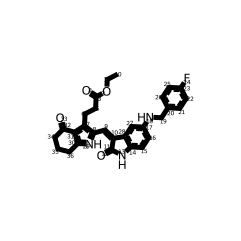 CCOC(=O)CCc1c(/C=C2\C(=O)Nc3ccc(NCc4ccc(F)cc4)cc32)[nH]c2c1C(=O)CCC2